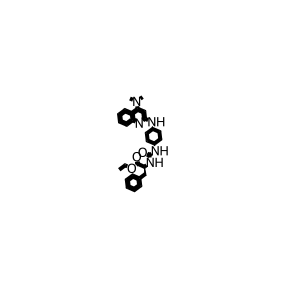 CCOC(=O)[C@H](Cc1ccccc1)NC(=O)N[C@H]1CC[C@@H](Nc2cc(N(C)C)c3ccccc3n2)CC1